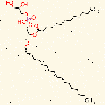 CCCCCCCCCCCCCCCC/C=C\OC[C@H](COP(=O)(O)OC[C@@H](O)CO)OC(=O)CCCCCCCCCCCC